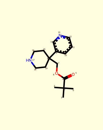 CC(C)(C)C(=O)OCC1(c2cccnc2)CCNCC1